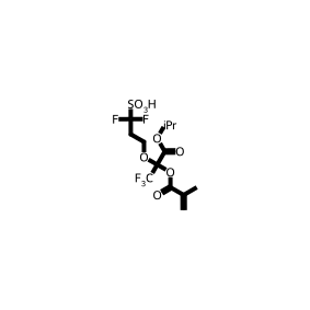 C=C(C)C(=O)OC(OCCC(F)(F)S(=O)(=O)O)(C(=O)OC(C)C)C(F)(F)F